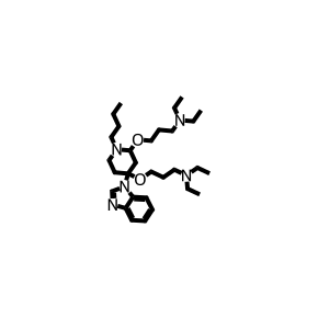 CCCCN1CCC(OCCCN(CC)CC)(n2cnc3ccccc32)CC1OCCCN(CC)CC